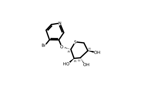 O[C@@H]1[C@@H](O)[C@H](Oc2cnccc2Br)SC[C@H]1O